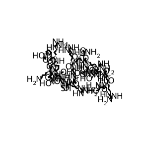 C[C@H](NC(=O)CNC(=O)[C@H](CCCNC(=N)N)NC(=O)[C@H](CCC(N)=O)NC(=O)[C@H](CCCNC(=N)N)NC(=O)[C@H](CS)NC(=O)[C@H](CO)NC(=O)CNC(=O)[C@H](C)NC(=O)[C@H](CCCNC(=N)N)NC(=O)[C@@H](N)CO)C(=O)N[C@@H](CCCNC(=N)N)C(=O)N[C@@H](CS)C(=O)N[C@@H](CO)C(=O)N[C@H](C(=O)N[C@@H](CCCCN)C(=O)N1CCC[C@H]1C(=O)N[C@@H](CCCNC(=N)N)C(=O)N1CCC[C@H]1C(=O)O)[C@@H](C)O